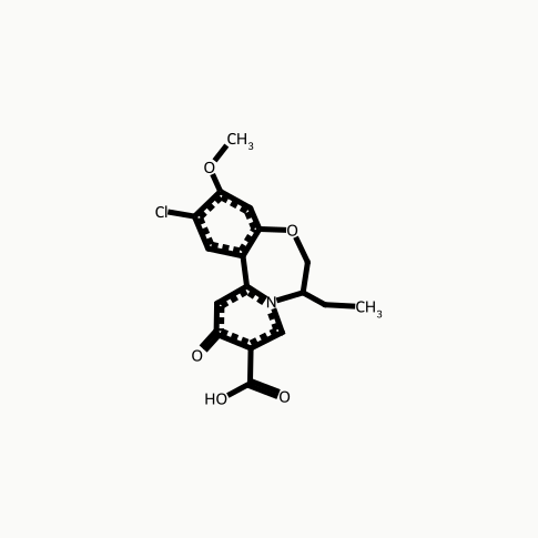 CCC1COc2cc(OC)c(Cl)cc2-c2cc(=O)c(C(=O)O)cn21